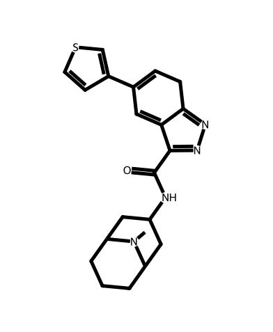 CN1C2CCCC1CC(NC(=O)C1=NN=C3CC=C(c4ccsc4)C=C31)C2